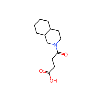 O=C(O)CCC(=O)N1CCC2CCCCC2C1